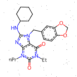 CCCn1c(=O)n(CC)c(=O)c2c1nc(NC1CCCCC1)n2Cc1ccc2c(c1)OCO2